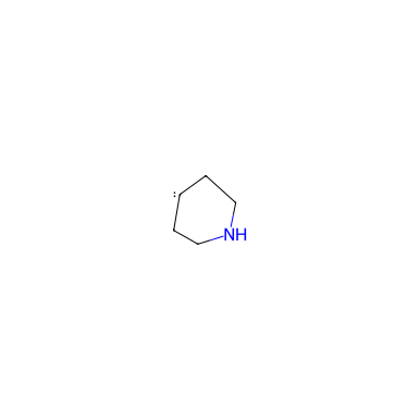 [C]1CCNCC1